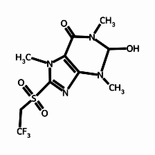 CN1C(=O)c2c(nc(S(=O)(=O)CC(F)(F)F)n2C)N(C)C1O